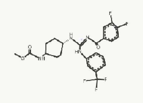 COC(=O)N[C@H]1CC[C@H](N/C(=N/C(=O)c2ccc(F)c(F)c2)Nc2cccc(C(F)(F)F)c2)CC1